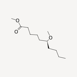 CCCC[C@@H](CCCCC(=O)OC)OC